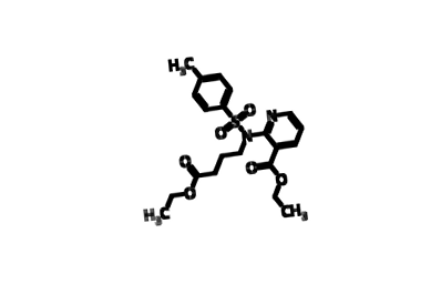 CCOC(=O)CCCN(c1ncccc1C(=O)OCC)S(=O)(=O)c1ccc(C)cc1